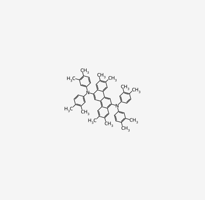 Cc1ccc(N(c2ccc(C)c(C)c2)c2cc3c4cc(C)c(C)cc4c(N(c4ccc(C)c(C)c4)c4ccc(C)c(C)c4)cc3c3cc(C)c(C)cc23)cc1C